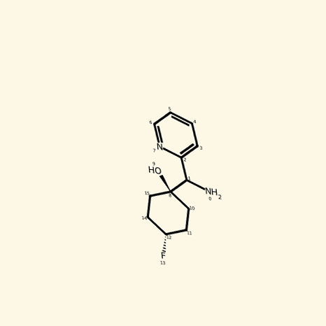 NC(c1ccccn1)[C@]1(O)CC[C@H](F)CC1